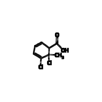 CC1(Cl)C(Cl)=CC=CC1C(=O)O